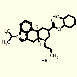 Br.CCCN1CC(C(=O)OC2CCCCC2O)C[C@@H]2c3cccc4c3c(cn4C(C)C)C[C@H]21